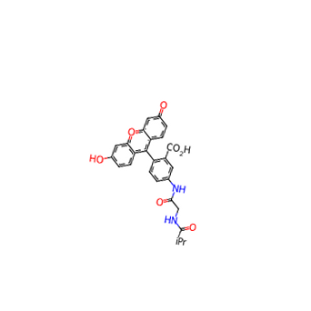 CC(C)C(=O)NCC(=O)Nc1ccc(-c2c3ccc(=O)cc-3oc3cc(O)ccc23)c(C(=O)O)c1